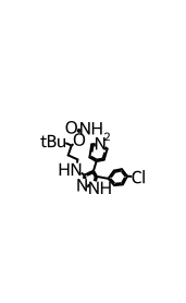 CC(C)(C)C(CCNc1n[nH]c(-c2ccc(Cl)cc2)c1-c1ccncc1)OC(N)=O